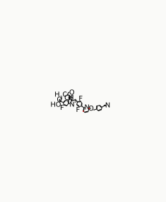 CC1(C)COCC1n1c(Cc2cc(F)c(-c3cccc(OCc4ccc(C#N)cc4)n3)cc2F)nc2cc(F)c(C(=O)O)cc21